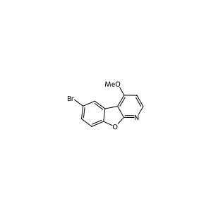 COc1ccnc2oc3ccc(Br)cc3c12